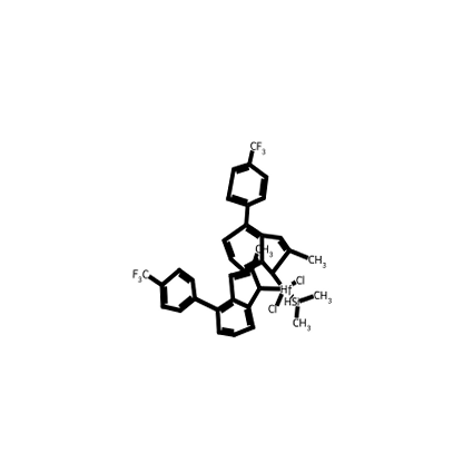 CC1=Cc2c(-c3ccc(C(F)(F)F)cc3)cccc2[CH]1[Hf]([Cl])([Cl])([CH]1C(C)=Cc2c(-c3ccc(C(F)(F)F)cc3)cccc21)[SiH](C)C